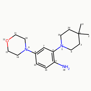 CC1(C)CCN(c2cc(N3CCOCC3)ccc2N)CC1